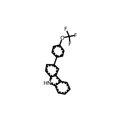 FC(F)(F)Oc1ccc(-c2ccc3[nH]c4ccccc4c3c2)cc1